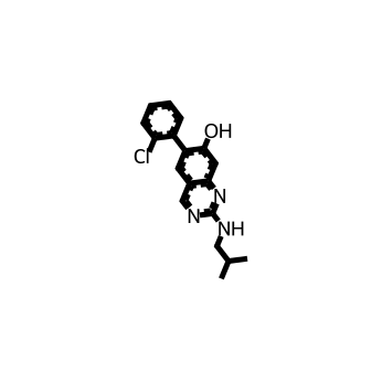 CC(C)CNc1ncc2cc(-c3ccccc3Cl)c(O)cc2n1